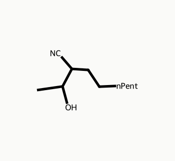 CCCCCCCC(C#N)C(C)O